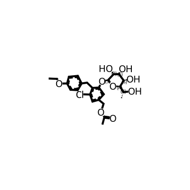 CCOc1ccc(Cc2c(Cl)cc(COC(C)=O)cc2O[C@@H]2O[C@H]([C@@H](C)O)[C@@H](O)[C@H](O)[C@H]2O)cc1